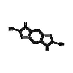 CC(C)c1cc2cc3[nH]c(C(C)C)cc3cc2[nH]1